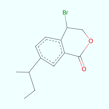 CCC(C)c1ccc2c(c1)C(=O)OCC2Br